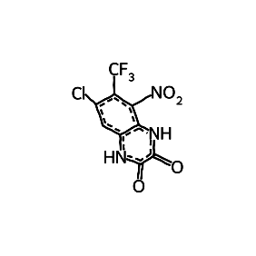 O=c1[nH]c2cc(Cl)c(C(F)(F)F)c([N+](=O)[O-])c2[nH]c1=O